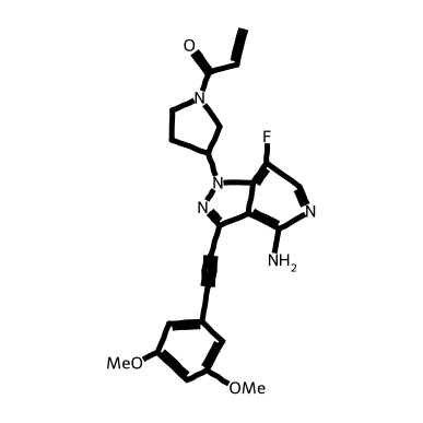 C=CC(=O)N1CCC(n2nc(C#Cc3cc(OC)cc(OC)c3)c3c(N)ncc(F)c32)C1